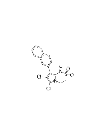 O=S1(=O)CCn2c(Cl)c(Cl)c(-c3ccc4ccccc4c3)c2N1